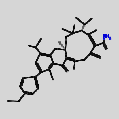 C=C(N)/C1=C(\C)[C@@H](C(C)C)C(C)(C)C[C@]2(C)Cc3c(C(C)C)cc(-c4ccc(CC)cc4)c(C)c3C(=C)/C2=C(\C)CC1=C